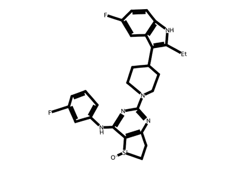 CCc1[nH]c2ccc(F)cc2c1C1CCN(c2nc3c(c(Nc4cccc(F)c4)n2)[S+]([O-])CC3)CC1